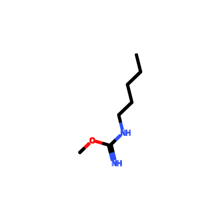 CCCCCNC(=N)OC